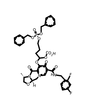 C[C@H]1CO[C@@H]2Cn3cc(C(=O)NCc4ccc(F)cc4F)c(=O)c(OC(CCCOP(=O)(OCc4ccccc4)OCc4ccccc4)OC(=O)O)c3C(=O)N12